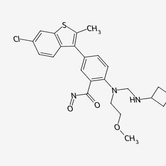 COCCN(CNC1CCC1)c1ccc(-c2c(C)sc3cc(Cl)ccc23)cc1C(=O)N=O